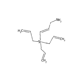 C=CC[Si](C=CCN)(CC=C)CC=C